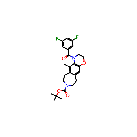 Cc1c2c(cc3c1N(C(=O)c1cc(F)cc(F)c1)CCO3)CCN(C(=O)OC(C)(C)C)CC2